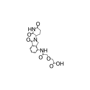 O=C(O)COCC(=O)Nc1cccc2c1CN(C1CCC(=O)NC1=O)C2=O